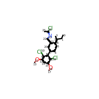 CC\C(C)=c1/ccc(-c2c(Cl)c(OC)cc(OC)c2Cl)c/c1=C/N=C(\C)Cl